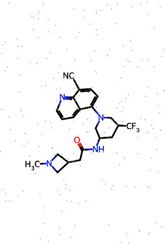 CN1CC(CC(=O)NC2CC(C(F)(F)F)CN(c3ccc(C#N)c4ncccc34)C2)C1